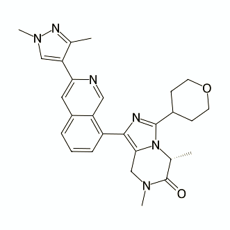 Cc1nn(C)cc1-c1cc2cccc(-c3nc(C4CCOCC4)n4c3CN(C)C(=O)[C@H]4C)c2cn1